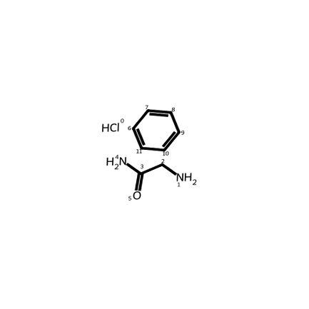 Cl.NCC(N)=O.c1ccccc1